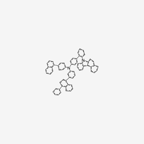 c1ccc(-c2ccc(-c3cccc(N(c4ccc(-c5ccccc5-n5c6ccccc6c6c7ccccc7ccc65)cc4)c4ccc(-c5cccc6ccccc56)cc4)c3)c3ccccc23)cc1